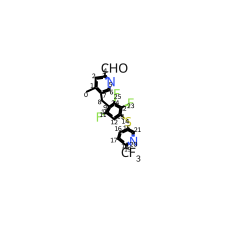 Cc1cc(C=O)ncc1Cc1c(F)cc(Sc2ccc(C(F)(F)F)nc2)c(F)c1F